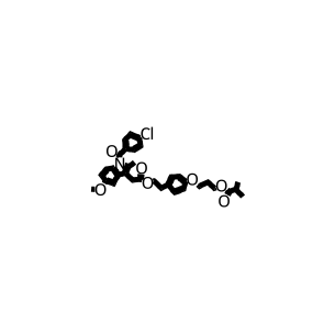 COc1ccc2c(c1)c(CC(=O)OCCc1ccc(OCCCOC(=O)C(C)C)cc1)c(C)n2C(=O)c1ccc(Cl)cc1